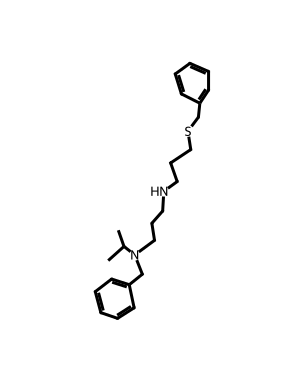 CC(C)N(CCCNCCCSCc1ccccc1)Cc1ccccc1